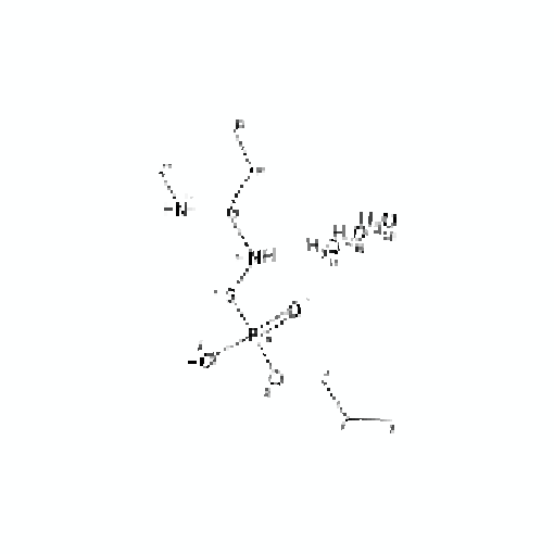 CCCOP(=O)(O)SNC(CC)NC.O.O.O